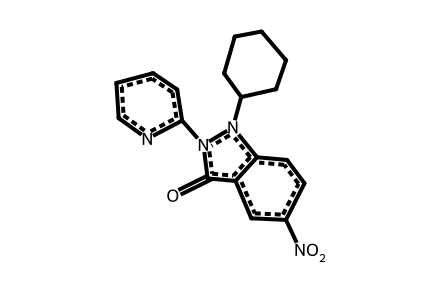 O=c1c2cc([N+](=O)[O-])ccc2n(C2CCCCC2)n1-c1ccccn1